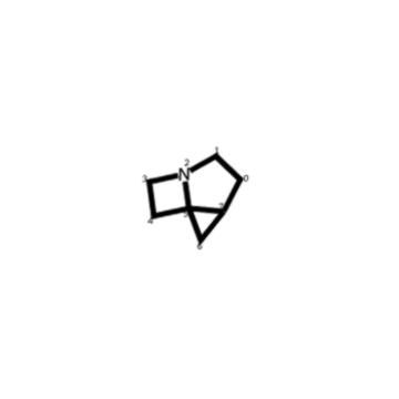 C1CN2CCC23CC13